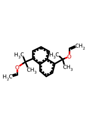 C=COC(C)(C)c1cccc2c(C(C)(C)OC=C)cccc12